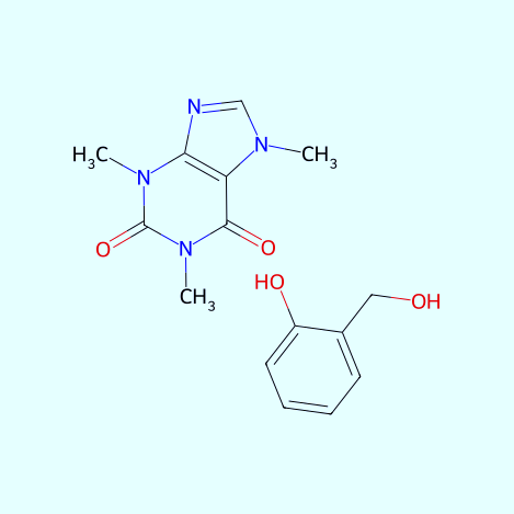 Cn1c(=O)c2c(ncn2C)n(C)c1=O.OCc1ccccc1O